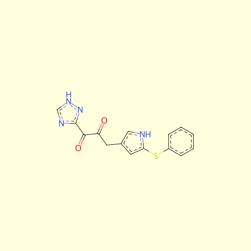 O=C(Cc1c[nH]c(Sc2ccccc2)c1)C(=O)c1nc[nH]n1